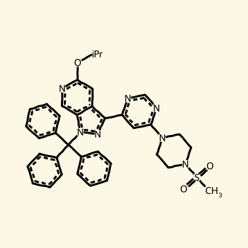 CC(C)Oc1cc2c(-c3cc(N4CCN(S(C)(=O)=O)CC4)ncn3)nn(C(c3ccccc3)(c3ccccc3)c3ccccc3)c2cn1